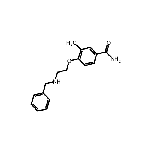 Cc1cc(C(N)=O)ccc1OCCNCc1ccccc1